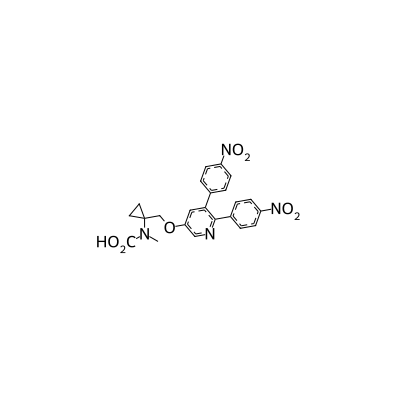 CN(C(=O)O)C1(COc2cnc(-c3ccc([N+](=O)[O-])cc3)c(-c3ccc([N+](=O)[O-])cc3)c2)CC1